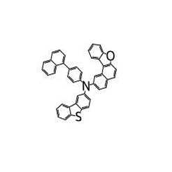 c1ccc2c(-c3ccc(N(c4ccc5sc6ccccc6c5c4)c4ccc5ccc6oc7ccccc7c6c5c4)cc3)cccc2c1